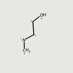 C[N]CCO